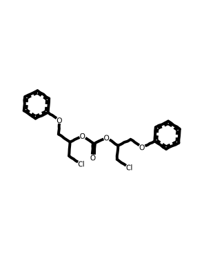 O=C(OC(CCl)COc1ccccc1)OC(CCl)COc1ccccc1